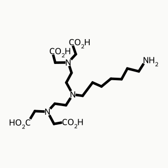 NCCCCCCCN(CCN(CC(=O)O)CC(=O)O)CCN(CC(=O)O)CC(=O)O